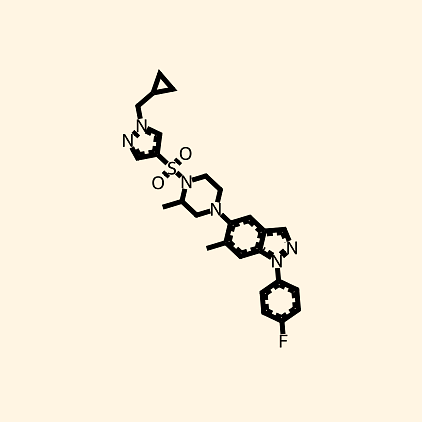 Cc1cc2c(cnn2-c2ccc(F)cc2)cc1N1CCN(S(=O)(=O)c2cnn(CC3CC3)c2)C(C)C1